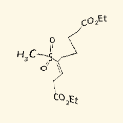 CCOC(=O)CC=C(CCC(=O)OCC)S(C)(=O)=O